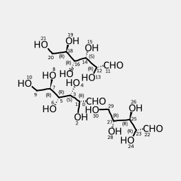 O=C[C@H](O)[C@@H](O)[C@H](O)[C@H](O)CO.O=C[C@H](O)[C@@H](O)[C@H](O)[C@H](O)CO.O=C[C@H](O)[C@H](O)[C@H](O)CO